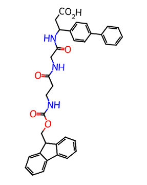 O=C(O)CC(NC(=O)CNC(=O)CCNC(=O)OCC1c2ccccc2-c2ccccc21)c1ccc(-c2ccccc2)cc1